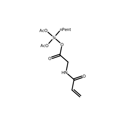 C=CC(=O)NCC(=O)O[Si](CCCCC)(OC(C)=O)OC(C)=O